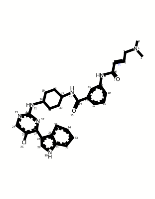 CN(C)C/C=C/C(=O)Nc1cccc(C(=O)NC2CCC(Nc3ncc(Cl)c(-c4c[nH]c5ccccc45)n3)CC2)c1